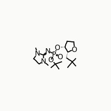 CN1CCN(C)C1=NP(=O)(O[C@@H]1CCO[C@@H]1CC(C)(C)C)OC(C)(C)C